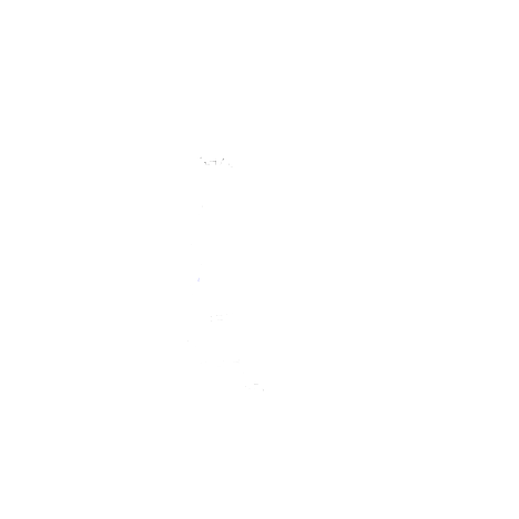 CC(=O)NCCC/C=C/c1ccc(C(F)(F)F)cc1